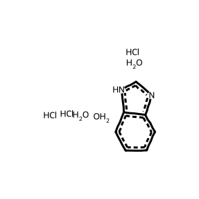 Cl.Cl.Cl.O.O.O.c1ccc2[nH]cnc2c1